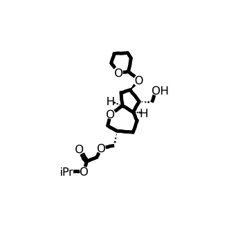 CC(C)OC(=O)COC[C@H]1CC[C@@H]2[C@@H](CO)[C@H](OC3CCCCO3)C[C@@H]2OC1